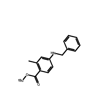 Cc1cc(NCc2ccccc2)ccc1C(=O)OC(C)(C)C